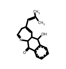 CC(C)=CC1=CC2C(N=CC1)C(=O)c1ccccc1C2O